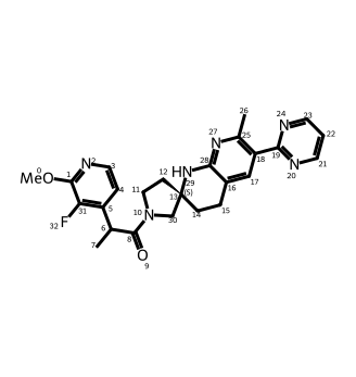 COc1nccc(C(C)C(=O)N2CC[C@@]3(CCc4cc(-c5ncccn5)c(C)nc4N3)C2)c1F